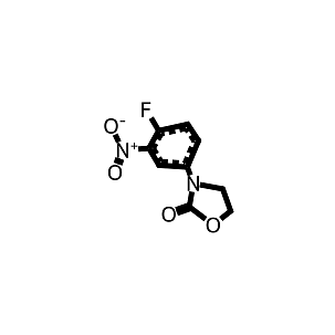 O=C1OCCN1c1ccc(F)c([N+](=O)[O-])c1